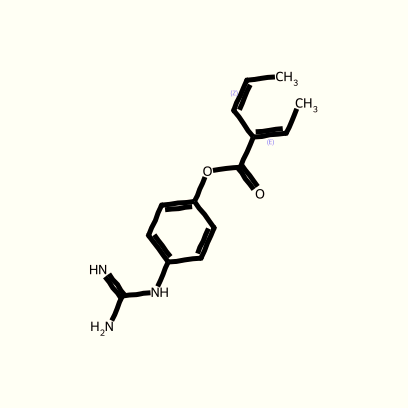 C/C=C\C(=C/C)C(=O)Oc1ccc(NC(=N)N)cc1